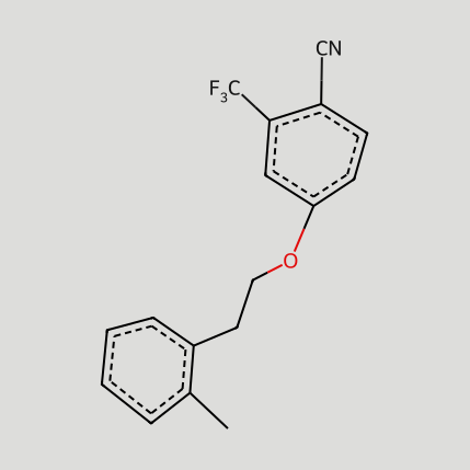 Cc1ccccc1CCOc1ccc(C#N)c(C(F)(F)F)c1